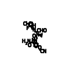 N#CCOc1ccc2c(C(N)=O)nn(CC(=O)N(C(C=O)CNCc3cccc(Cl)c3F)C3CC3)c2c1